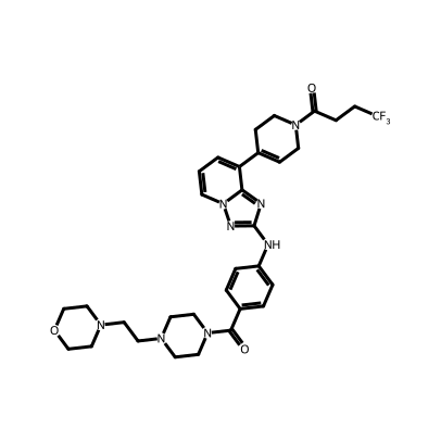 O=C(CCC(F)(F)F)N1CC=C(c2cccn3nc(Nc4ccc(C(=O)N5CCN(CCN6CCOCC6)CC5)cc4)nc23)CC1